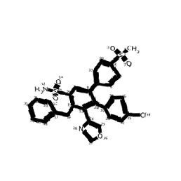 CS(=O)(=O)c1ccc(-c2cc(S(N)(=O)=O)c(Cc3ccccc3)c(-c3cocn3)c2-c2ccc(Cl)cc2)cc1